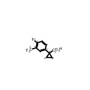 O=C(O)C1(c2ccc(F)c(C(F)(F)F)c2)CC1